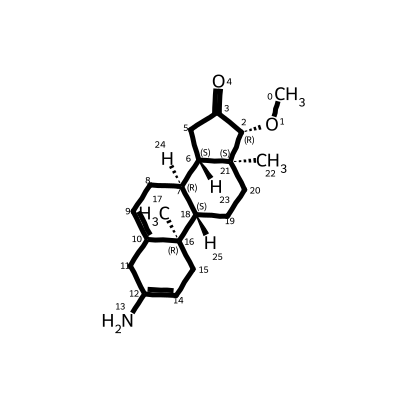 CO[C@H]1C(=O)C[C@H]2[C@@H]3CC=C4CC(N)=CC[C@]4(C)[C@H]3CC[C@]12C